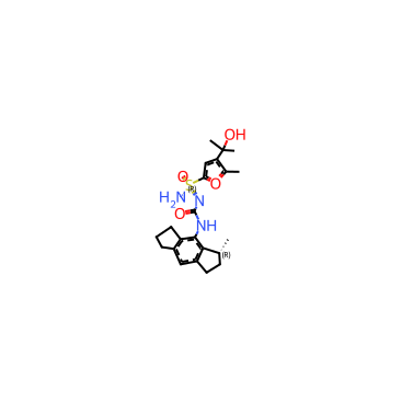 Cc1oc([S@](N)(=O)=NC(=O)Nc2c3c(cc4c2[C@H](C)CC4)CCC3)cc1C(C)(C)O